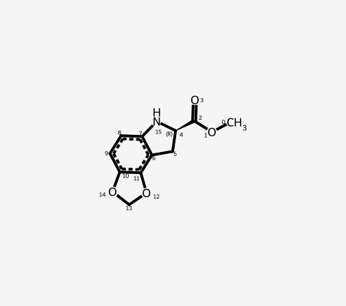 COC(=O)[C@H]1Cc2c(ccc3c2OCO3)N1